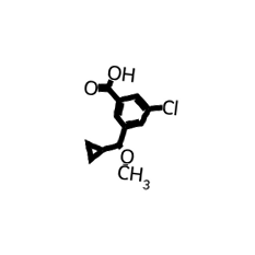 COC(c1cc(Cl)cc(C(=O)O)c1)C1CC1